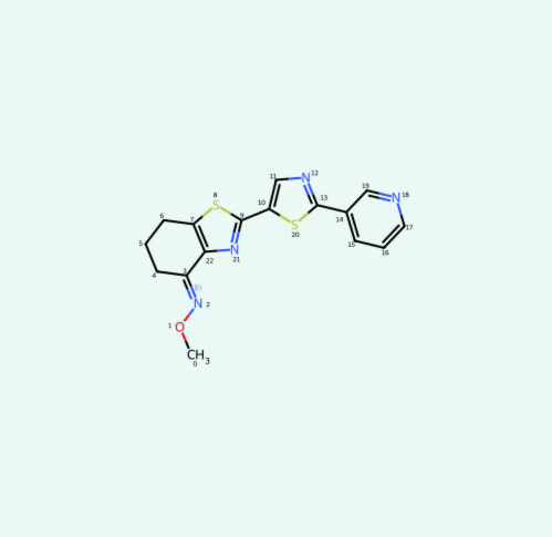 CO/N=C1\CCCc2sc(-c3cnc(-c4cccnc4)s3)nc21